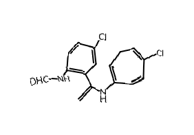 C=C(NC1=CCC=C(Cl)C=C1)c1cc(Cl)ccc1NC=O